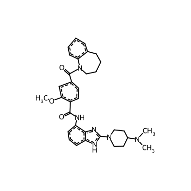 COc1cc(C(=O)N2CCCCc3ccccc32)ccc1C(=O)Nc1cccc2[nH]c(N3CCC(N(C)C)CC3)nc12